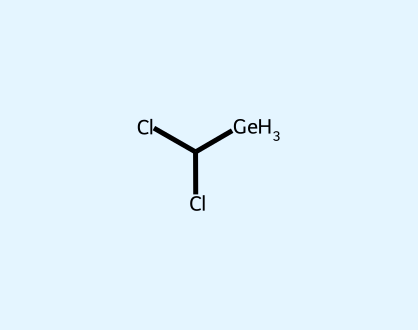 Cl[CH](Cl)[GeH3]